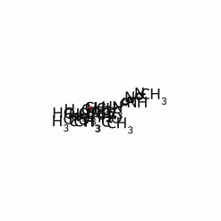 Cc1ccc(-c2nc3ccc(CNCC[C@@]45CC[C@]6(C)[C@H](CC[C@@H]7[C@@]8(C)CC[C@H](OC(=O)[C@H]9C[C@@H](C(=O)O)C9(C)C)C(C)(C)[C@@H]8CC[C@]76C)C4=C(C(C)C)C(=O)C5)cc3[nH]2)cn1